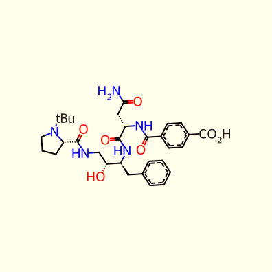 CC(C)(C)N1CCC[C@H]1C(=O)NC[C@@H](O)[C@H](Cc1ccccc1)NC(=O)[C@H](CC(N)=O)NC(=O)c1ccc(C(=O)O)cc1